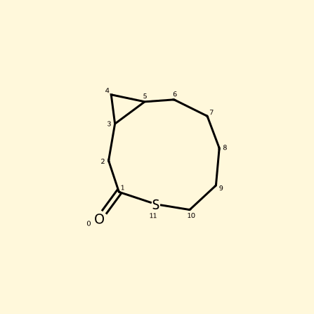 O=C1CC2CC2CCCCCS1